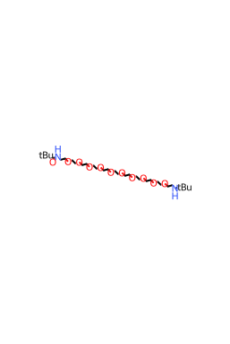 CC(C)(C)NCCOCCOCCOCCOCCOCCOCCOCCOCCOCCOCCNC(=O)C(C)(C)C